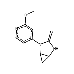 COc1cc(N2C(=O)NC3CC32)ccn1